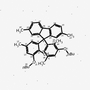 CCCCOc1cc(C)cc(C2(c3cc(C)cc(OCCCC)c3C)c3cc(C)ccc3-c3ccc(C)cc32)c1C